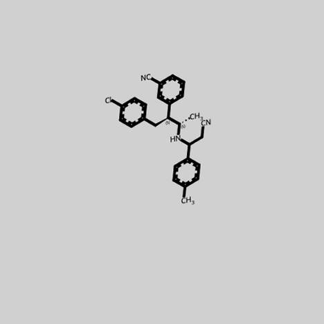 Cc1ccc(C(CC#N)N[C@@H](C)[C@@H](Cc2ccc(Cl)cc2)c2cccc(C#N)c2)cc1